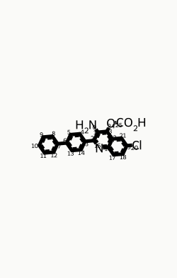 Nc1c(-c2ccc(-c3ccccc3)cc2)nc2ccc(Cl)cc2c1OC(=O)O